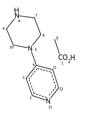 CC(=O)O.c1cc(N2CCNCC2)ccn1